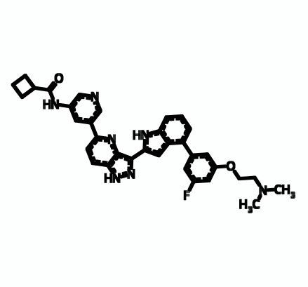 CN(C)CCOc1cc(F)cc(-c2cccc3[nH]c(-c4n[nH]c5ccc(-c6cncc(NC(=O)C7CCC7)c6)nc45)cc23)c1